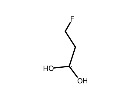 O[C](O)CCF